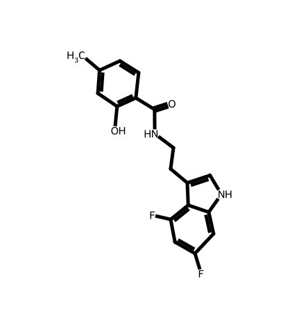 Cc1ccc(C(=O)NCCc2c[nH]c3cc(F)cc(F)c23)c(O)c1